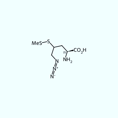 CSSC(CN=[N+]=[N-])C[C@H](N)C(=O)O